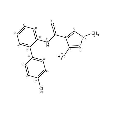 Cc1nn(C)cc1C(=O)Nc1ccccc1-c1ccc(Cl)cc1